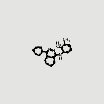 Cc1cccc(Nc2nnc(-c3ccccc3)c3ccccc23)c1C